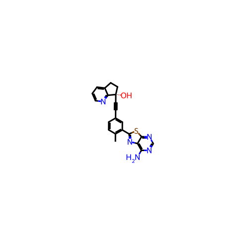 Cc1ccc(C#C[C@]2(O)CCc3cccnc32)cc1-c1nc2c(N)ncnc2s1